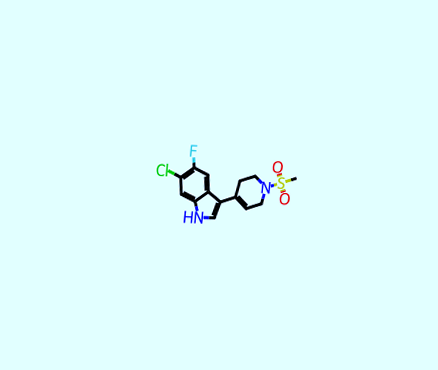 CS(=O)(=O)N1CC=C(c2c[nH]c3cc(Cl)c(F)cc23)CC1